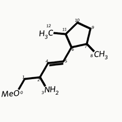 COCC(N)/C=C/C1C(C)CCC1C